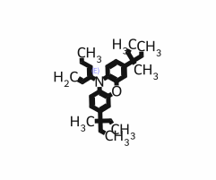 C=C/C(=C\CC)N1c2ccc(C(C)(CC)CC)cc2Oc2cc(C(C)(CC)CC)ccc21